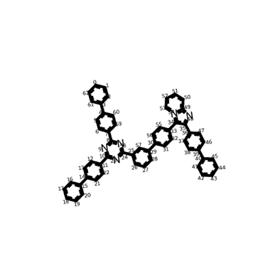 c1ccc(-c2ccc(-c3nc(-c4ccc(-c5ccccc5)cc4)nc(-c4cccc(-c5ccc(-c6c(-c7ccc(-c8ccccc8)cc7)nc7ccccn67)cc5)c4)n3)cc2)cc1